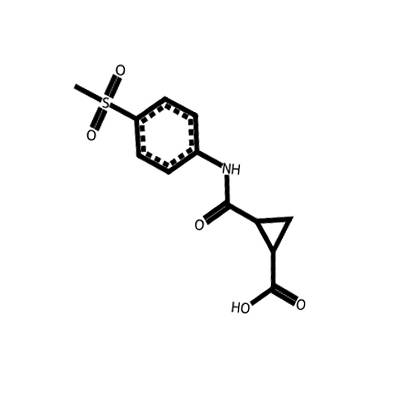 CS(=O)(=O)c1ccc(NC(=O)C2CC2C(=O)O)cc1